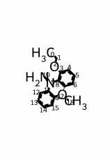 CCOc1ccccc1N(N)c1ccccc1OC